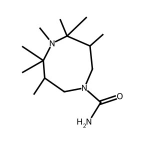 CC1CN(C(N)=O)CC(C)C(C)(C)N(C)C1(C)C